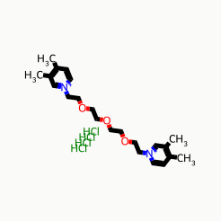 Cc1cc[n+](CCOCCOCCOCC[n+]2ccc(C)c(C)c2)cc1C.Cl.Cl.Cl.Cl